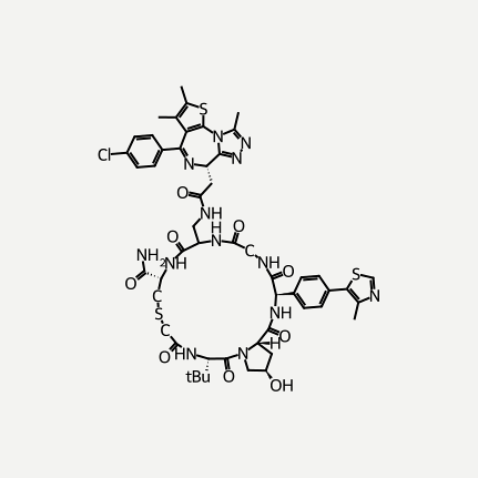 Cc1ncsc1-c1ccc([C@H]2NC(=O)[C@@H]3C[C@@H](O)CN3C(=O)[C@H](C(C)(C)C)NC(=O)CSC[C@H](C(N)=O)NC(=O)C(CNC(=O)C[C@@H]3N=C(c4ccc(Cl)cc4)c4c(sc(C)c4C)-n4c(C)nnc43)NC(=O)CNC2=O)cc1